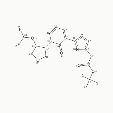 CC(C)(C)OC(=O)Cn1ccc(C2=CC=CC([C@@H]3COCC3OC(F)F)C2=O)n1